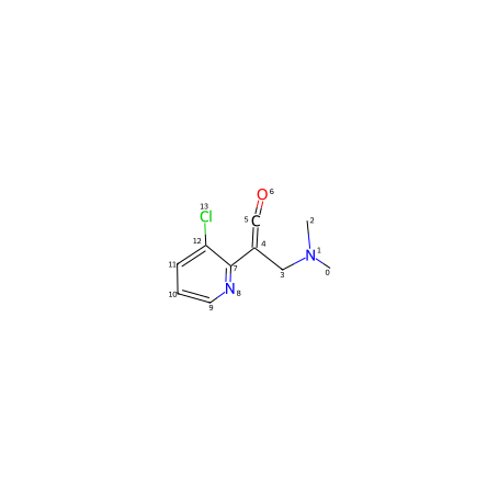 CN(C)CC(=C=O)c1ncccc1Cl